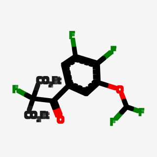 CCOC(=O)C(F)(C(=O)OCC)C(=O)c1cc(F)c(F)c(OC(F)F)c1